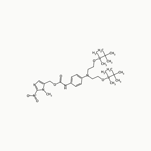 Cn1c(COC(=O)Nc2ccc(N(CCO[Si](C)(C)C(C)(C)C)CCO[Si](C)(C)C(C)(C)C)cc2)cnc1[N+](=O)[O-]